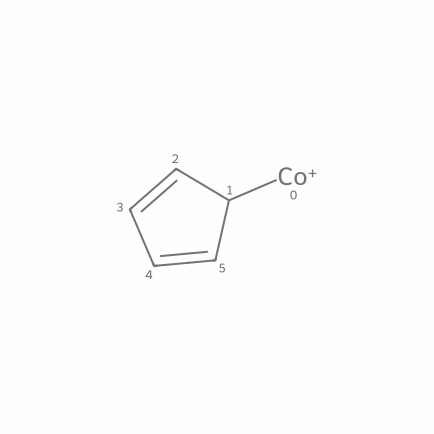 [Co+][CH]1C=CC=C1